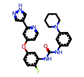 O=C(Nc1cccc(N2CCCCC2)c1)Nc1cc(Oc2ccnc(-c3cn[nH]c3)c2)ccc1F